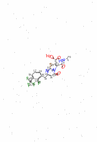 CCNC(=O)c1c(C(=O)O)sc2nc(Cc3cccc(C(F)(F)F)c3F)cc(=O)n12